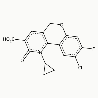 O=C(O)c1cc2c(n(C3CC3)c1=O)-c1cc(Cl)c(F)cc1OC2